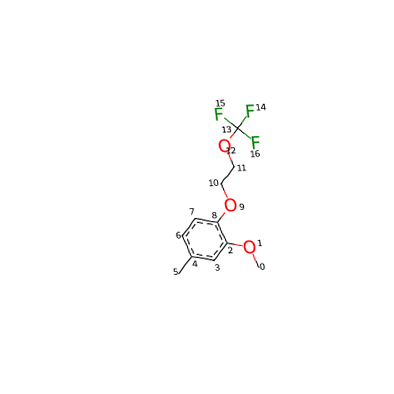 COc1cc(C)ccc1OCCOC(F)(F)F